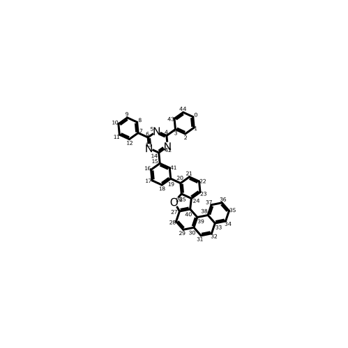 c1ccc(-c2nc(-c3ccccc3)nc(-c3cccc(-c4cccc5c4oc4ccc6ccc7ccccc7c6c45)c3)n2)cc1